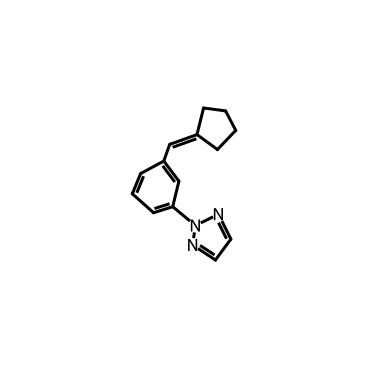 C(=C1CCCC1)c1cccc(-n2nccn2)c1